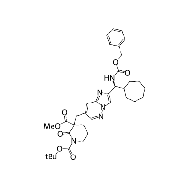 COC(=O)C1(Cc2cnn3cc([C@@H](NC(=O)OCc4ccccc4)C4CCCCCC4)nc3c2)CCCN(C(=O)OC(C)(C)C)C1=O